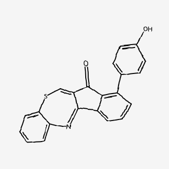 O=c1c2csc3ccccc3nc-2c2cccc(-c3ccc(O)cc3)c12